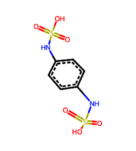 O=S(=O)(O)Nc1ccc(NS(=O)(=O)O)cc1